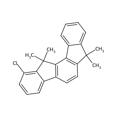 CC1(C)c2ccccc2-c2c1ccc1c2C(C)(C)c2c(Cl)cccc2-1